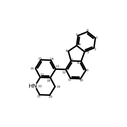 c1ccc2c(c1)Cc1c-2cccc1-c1cccc2c1CCCN2